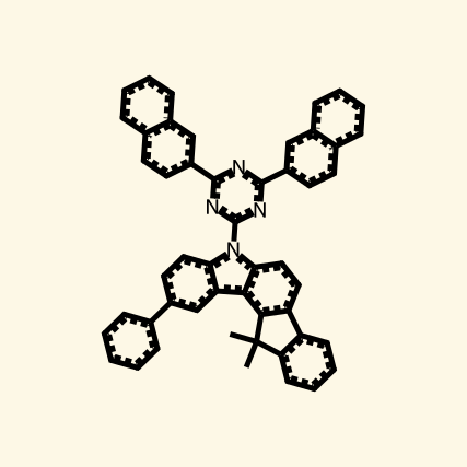 CC1(C)c2ccccc2-c2ccc3c(c21)c1cc(-c2ccccc2)ccc1n3-c1nc(-c2ccc3ccccc3c2)nc(-c2ccc3ccccc3c2)n1